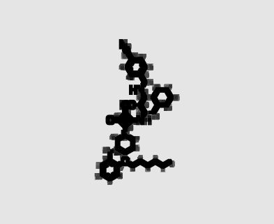 CCCCCCOc1ccccc1C[C@H]1CCCN(c2c(N[C@@H](CC3CCCCC3)[C@H](O)CNCc3ccc(C#N)cc3)c(=O)c2=O)C1